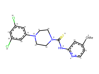 COc1ccnc(NC(=S)N2CCN(c3cc(Cl)cc(Cl)c3)CC2)c1